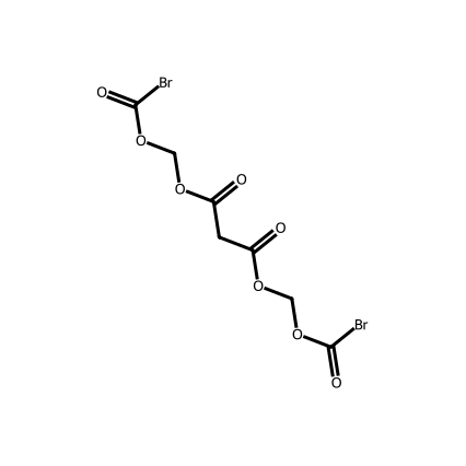 O=C(Br)OCOC(=O)CC(=O)OCOC(=O)Br